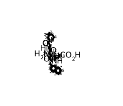 CC1(C)CCCN(C(=O)CNC(=O)[C@H](N)NC(=O)[C@H](Cc2ccc3ccccc3c2)NC(=O)CCC(=O)O)C1